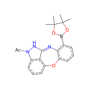 CC(=O)N1NC2=Nc3c(cccc3B3OC(C)(C)C(C)(C)O3)Oc3cccc1c32